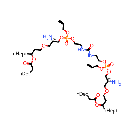 C=CCOP(=O)(OCCNC(=O)NCCOP(=O)(OCC=C)OC[C@H](N)COCCC(CCCCCCC)OC(=O)CCCCCCCCCCC)OC[C@H](N)COCCC(CCCCCCC)OC(=O)CCCCCCCCCCC